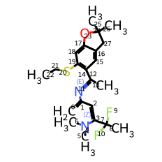 C=C(/C=C(\N(C)C)C(C)(F)F)/N=C(\C)c1cc2c(cc1SCC)OC(C)(C)C2